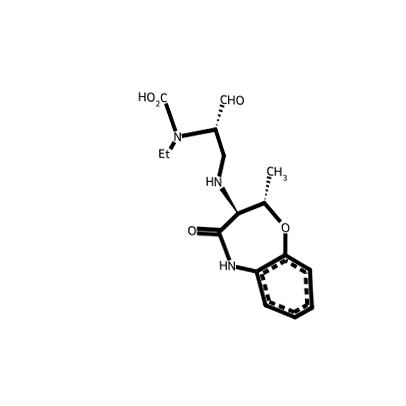 CCN(C(=O)O)[C@H](C=O)CN[C@@H]1C(=O)Nc2ccccc2O[C@H]1C